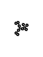 c1ccc(-c2c(-c3ccccc3)c3cc(N(c4ccc(-c5cccc6ccccc56)cc4)c4ccc(-c5cccc6ccccc56)cc4)ccc3c3ccccc23)cc1